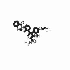 CC1=C(n2cnc3ccccc3c2=O)C=CCC1c1cnc(C(N)=O)c2[nH]c3cc(OCCO)ccc3c12